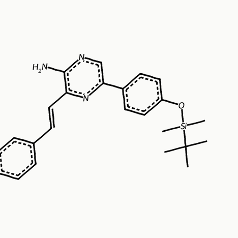 CC(C)(C)[Si](C)(C)Oc1ccc(-c2cnc(N)c(C=Cc3ccccc3)n2)cc1